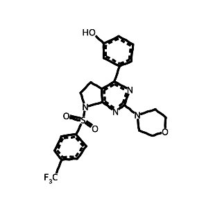 O=S(=O)(c1ccc(C(F)(F)F)cc1)N1CCc2c(-c3cccc(O)c3)nc(N3CCOCC3)nc21